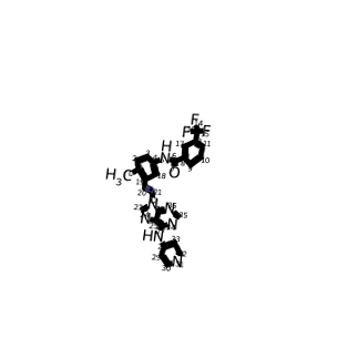 Cc1ccc(NC(=O)c2cccc(C(F)(F)F)c2)cc1/C=C/n1cnc2c(Nc3ccncc3)ncnc21